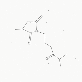 C=C1CC(C)C(=O)N1CCCC(=O)C(C)C